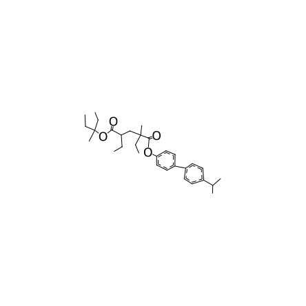 CCC(CC(C)(CC)C(=O)Oc1ccc(-c2ccc(C(C)C)cc2)cc1)C(=O)OC(C)(CC)CC